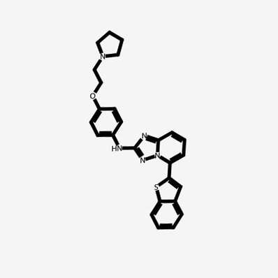 c1ccc2sc(-c3cccc4nc(Nc5ccc(OCCN6CCCC6)cc5)nn34)cc2c1